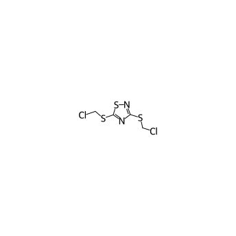 ClCSc1nsc(SCCl)n1